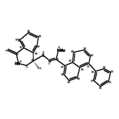 C=C1NC[C@](C)(S/N=C(\NC)c2cccc3c(-c4ccccc4)cccc23)c2cccnc21